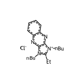 CCCCn1c(CC)[n+](CCCC)c2nc3ccccc3nc21.[Cl-]